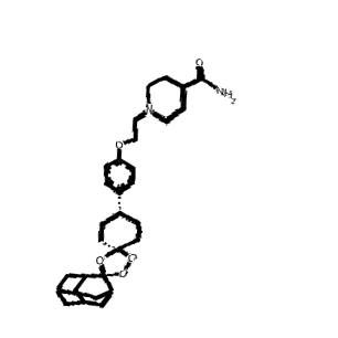 NC(=O)C1CCN(CCOc2ccc([C@H]3CC[C@]4(CC3)OO[C@]3(O4)C4CC5CC(C4)CC3C5)cc2)CC1